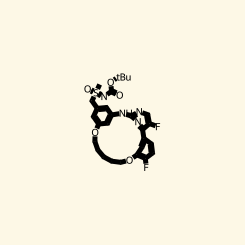 CC(C)(C)OC(=O)N=S(C)(=O)Cc1cc2cc(c1)OCCCCCOc1cc(ccc1F)-c1nc(ncc1F)N2